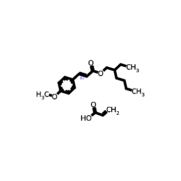 C=CC(=O)O.CCCCC(CC)COC(=O)/C=C/c1ccc(OC)cc1